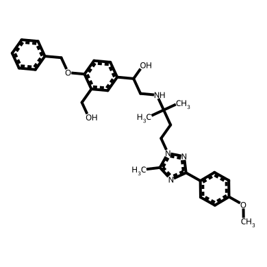 COc1ccc(-c2nc(C)n(CCC(C)(C)NCC(O)c3ccc(OCc4ccccc4)c(CO)c3)n2)cc1